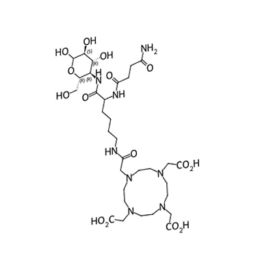 NC(=O)CCC(=O)NC(CCCCNC(=O)CN1CCN(CC(=O)O)CCN(CC(=O)O)CCN(CC(=O)O)CC1)C(=O)N[C@@H]1[C@@H](O)[C@H](O)C(O)O[C@H]1CO